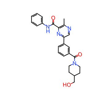 Cc1ncc(-c2cccc(C(=O)N3CCC(CO)CC3)c2)nc1C(=O)Nc1ccccc1